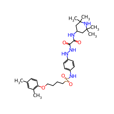 Cc1ccc(OCCCCS(=O)(=O)Nc2ccc(NNC(=O)C(=O)NC3CC(C)(C)NC(C)(C)C3)cc2)c(C)c1